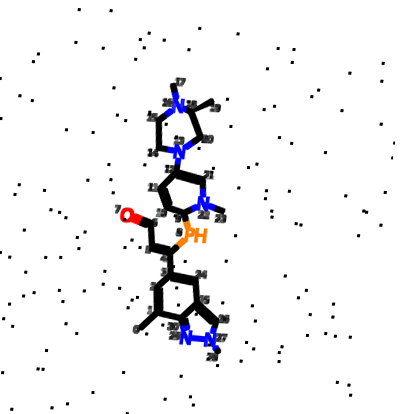 Cc1cc(/C(=C/C=O)PC2C=CC(N3CCN(C)[C@@H](C)C3)=CN2C)cc2cn(C)nc12